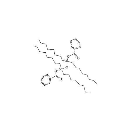 CCCCCCC[CH2][Sn]([CH2]CCCCCCC)([O]C(=O)c1ccccc1)[O][Sn]([CH2]CCCCCCC)([CH2]CCCCCCC)[O]C(=O)c1ccccc1